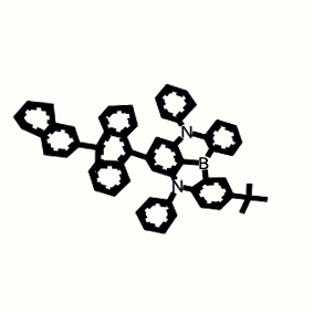 CC(C)(C)c1ccc2c(c1)B1c3ccccc3N(c3ccccc3)c3cc(-c4c5ccccc5c(-c5ccc6ccccc6c5)c5ccccc45)cc(c31)N2c1ccccc1